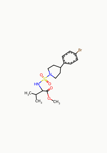 COC(=O)C(NS(=O)(=O)N1CCC(c2ccc(Br)cc2)CC1)C(C)C